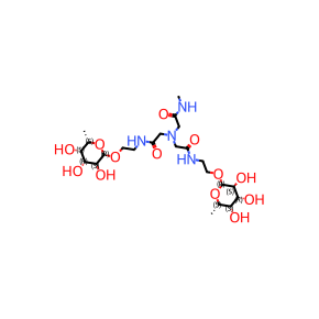 CNC(=O)CN(CC(=O)NCCO[C@@H]1O[C@@H](C)[C@@H](O)[C@@H](O)[C@@H]1O)CC(=O)NCCO[C@@H]1O[C@@H](C)[C@@H](O)[C@@H](O)[C@@H]1O